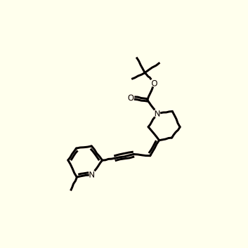 Cc1cccc(C#C/C=C2/CCCN(C(=O)OC(C)(C)C)C2)n1